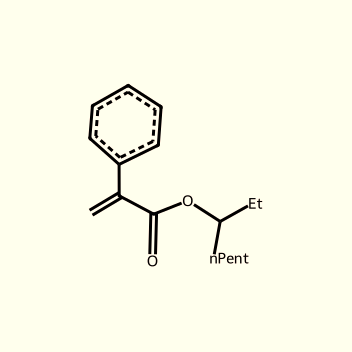 C=C(C(=O)OC(CC)CCCCC)c1ccccc1